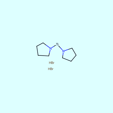 Br.Br.C1CC[N]([Ti][N]2CCCC2)C1